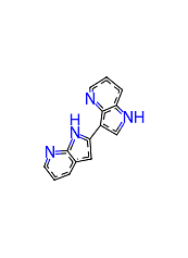 c1cnc2[nH]c(-c3c[nH]c4cccnc34)cc2c1